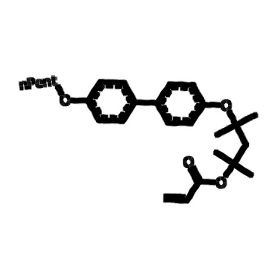 C=CC(=O)OC(C)(C)CC(C)(C)Oc1ccc(-c2ccc(OCCCCC)cc2)cc1